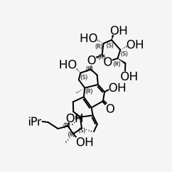 CC(C)CC[C@@H](O)[C@](C)(O)[C@H]1CC=C2C3=C(CC[C@@]21C)[C@@]1(C)C[C@H](O)[C@H](O[C@@H]2O[C@H](CO)[C@@H](O)[C@H](O)[C@H]2O)CC1=C(O)C3=O